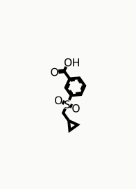 O=C(O)c1cccc(S(=O)(=O)CC2CC2)c1